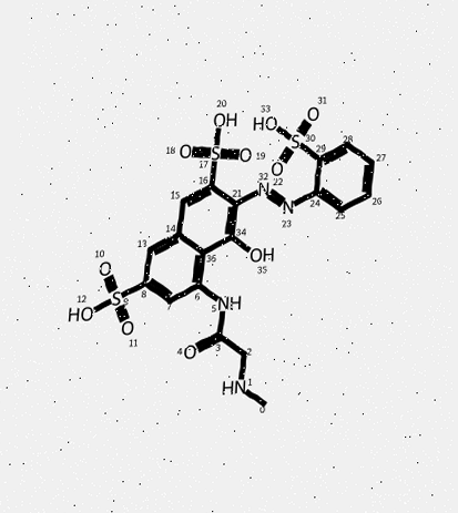 CNCC(=O)Nc1cc(S(=O)(=O)O)cc2cc(S(=O)(=O)O)c(N=Nc3ccccc3S(=O)(=O)O)c(O)c12